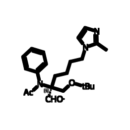 CC(=O)N(c1ccccc1)[C@@]([C]=O)(CCCCn1ccnc1C)COC(C)(C)C